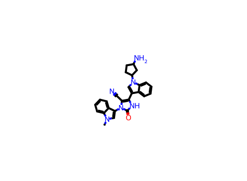 Cn1cc(-n2c(C#N)c(-c3cn(C4CCC(N)C4)c4ccccc34)[nH]c2=O)c2ccccc21